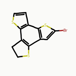 Brc1cc2c3c(c4sccc4c2s1)CCS3